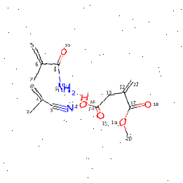 C=C(C)C#N.C=C(C)C(N)=O.C=C(CC(=O)O)C(=O)OC